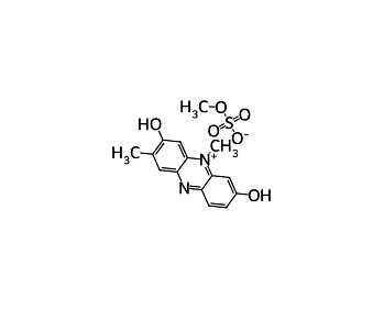 COS(=O)(=O)[O-].Cc1cc2nc3ccc(O)cc3[n+](C)c2cc1O